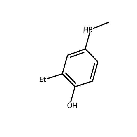 CBc1ccc(O)c(CC)c1